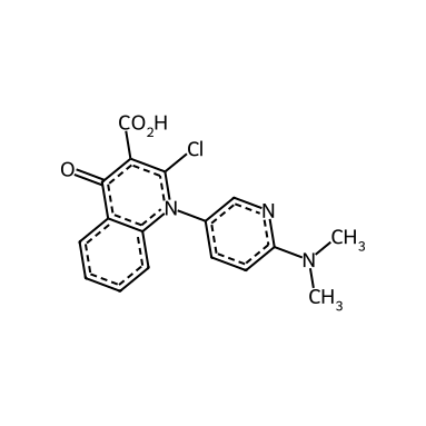 CN(C)c1ccc(-n2c(Cl)c(C(=O)O)c(=O)c3ccccc32)cn1